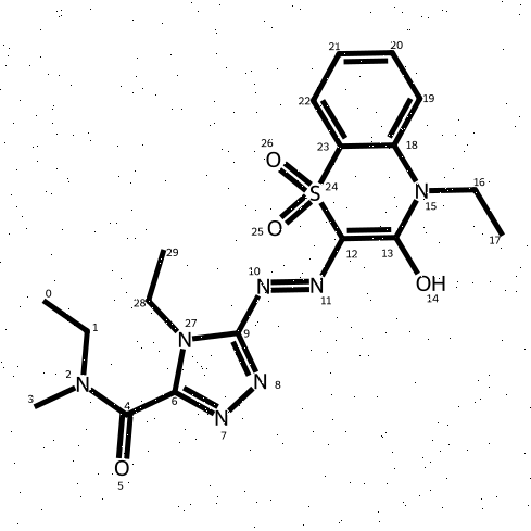 CCN(C)C(=O)c1nnc(N=NC2=C(O)N(CC)c3ccccc3S2(=O)=O)n1CC